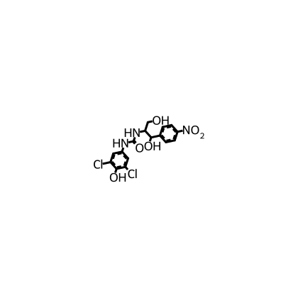 O=C(Nc1cc(Cl)c(O)c(Cl)c1)NC(CO)C(O)c1ccc([N+](=O)[O-])cc1